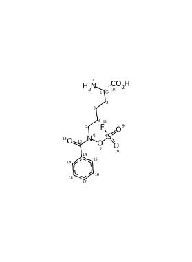 N[C@@H](CCCCN(OS(=O)(=O)F)C(=O)c1ccccc1)C(=O)O